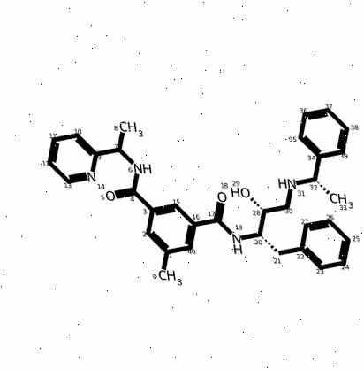 Cc1cc(C(=O)NC(C)c2ccccn2)cc(C(=O)N[C@@H](Cc2ccccc2)[C@H](O)CN[C@@H](C)c2ccccc2)c1